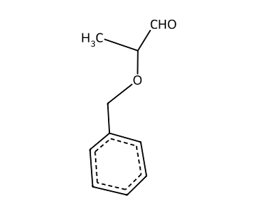 CC(C=O)OCc1ccccc1